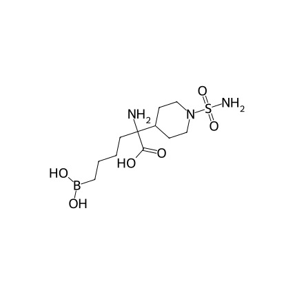 NC(CCCCB(O)O)(C(=O)O)C1CCN(S(N)(=O)=O)CC1